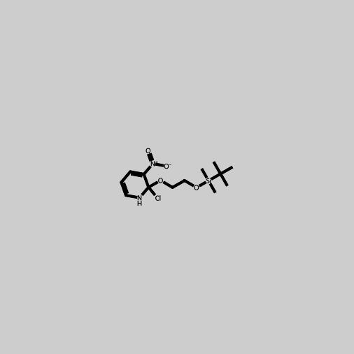 CC(C)(C)[Si](C)(C)OCCOC1(Cl)NC=CC=C1[N+](=O)[O-]